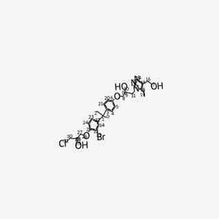 CC(C)(c1ccc(OC[C@H](O)Cn2nnc(CO)c2I)cc1)c1ccc(OC[C@@H](O)CCl)c(Br)c1